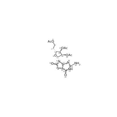 CC(=O)OCC[C@H]1O[C@@H](n2c(=O)sc3c(=O)[nH]c(N)nc32)[C@H](OC(C)=O)[C@@H]1OC(C)=O